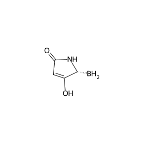 B[C@H]1NC(=O)C=C1O